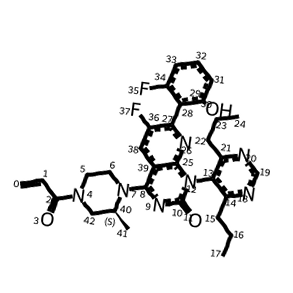 C=CC(=O)N1CCN(c2nc(=O)n(-c3c(CCC)ncnc3CCC)c3nc(-c4c(O)cccc4F)c(F)cc23)[C@@H](C)C1